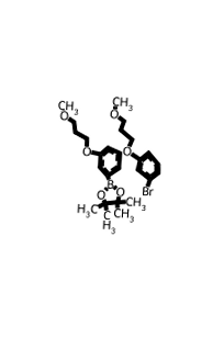 COCCCOc1cccc(B2OC(C)(C)C(C)(C)O2)c1.COCCCOc1cccc(Br)c1